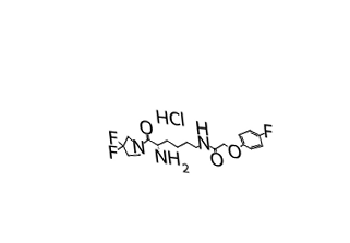 Cl.N[C@@H](CCCCNC(=O)COc1ccc(F)cc1)C(=O)N1CCC(F)(F)C1